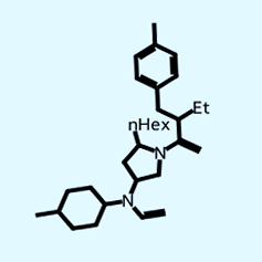 C=CN(C1CCC(C)CC1)C1CC(CCCCCC)N(C(=C)C(CC)Cc2ccc(C)cc2)C1